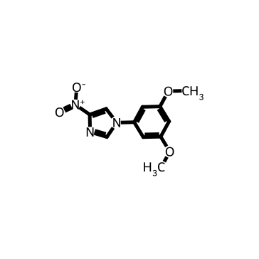 COc1cc(OC)cc(-n2cnc([N+](=O)[O-])c2)c1